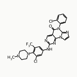 CN1CCN(c2c(Cl)cc(Nc3ncc4c(=O)n(-c5ccccc5Cl)c5nccn5c4n3)cc2C(F)(F)F)CC1